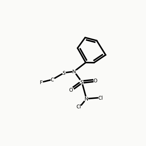 O=S(=O)(N(Cl)Cl)N(SCF)c1ccccc1